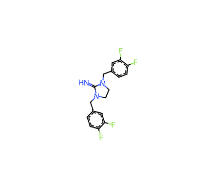 N=C1N(Cc2ccc(F)c(F)c2)CCN1Cc1ccc(F)c(F)c1